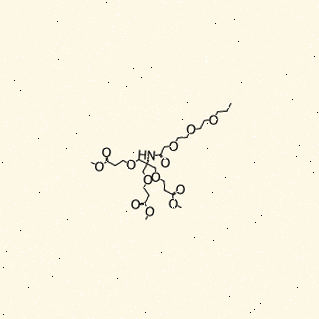 CCCOCCOCCOCC(=O)NC(COCCC(=O)OC)(COCCC(=O)OC)COCCC(=O)OC